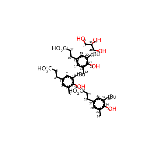 Cc1cc(CCC(=O)O)cc(C(C)(C)C)c1O.Cc1cc(CCC(=O)O)cc(C(C)(C)C)c1O.Cc1cc(CCC(=O)O)cc(C(C)(C)C)c1O.OCC(O)CO